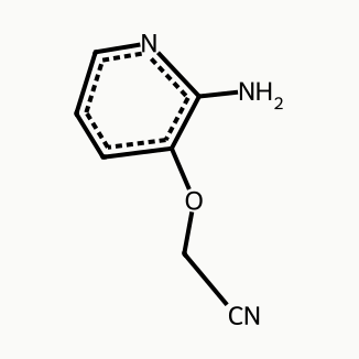 N#CCOc1cccnc1N